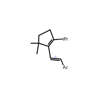 CC(=O)/C=C/C1=C(C(C)C)CCC1(C)C